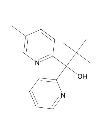 Cc1ccc(C(O)(c2ccccn2)C(C)(C)C)nc1